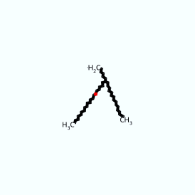 [CH2]CCCCCC(CCCCCCCCCCCCCCCC)CCCCCCCCCCCCCCCCCCCCC